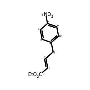 CCOC(=O)C=CCc1ccc([N+](=O)[O-])cc1